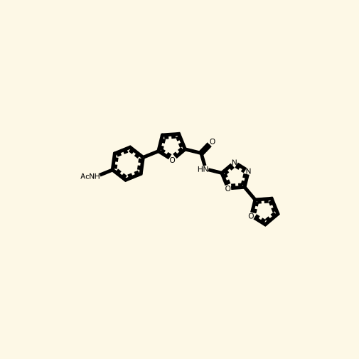 CC(=O)Nc1ccc(-c2ccc(C(=O)Nc3nnc(-c4ccco4)o3)o2)cc1